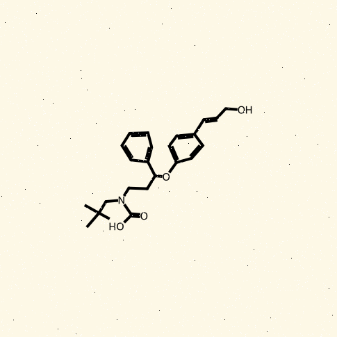 CC(C)(C)CN(CCC(Oc1ccc(C=CCO)cc1)c1ccccc1)C(=O)O